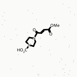 COC(=O)C=CC(=O)N1CCN(C(=O)O)CC1